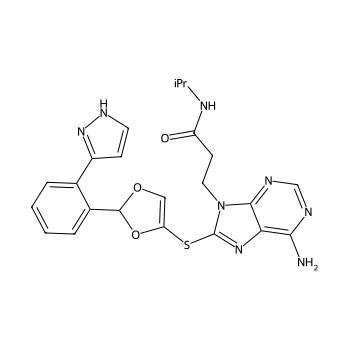 CC(C)NC(=O)CCn1c(SC2=COC(c3ccccc3-c3cc[nH]n3)O2)nc2c(N)ncnc21